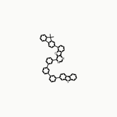 CC1(C)c2ccccc2-c2ccc(-c3cccc4c3oc3c(-c5cccc(-c6cccc(-c7cccc(-c8ccc9c(c8)sc8ccccc89)c7)c6)c5)ncnc34)cc21